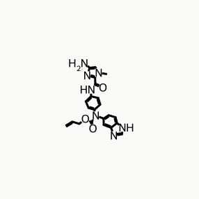 C=CCOC(=O)N(c1ccc(NC(=O)c2nc(N)cn2C)cc1)c1ccc2[nH]cnc2c1